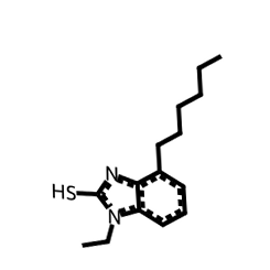 CCCCCCc1cccc2c1nc(S)n2CC